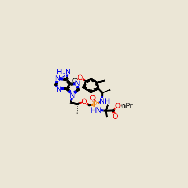 CCCOC(=O)C(C)(C)NP(=O)(CO[C@H](C)Cn1cnc2c(N)ncnc21)N[C@H](C)c1ccc(OC(F)(F)F)cc1C